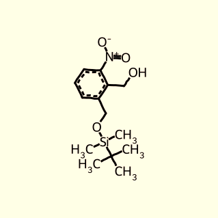 CC(C)(C)[Si](C)(C)OCc1cccc([N+](=O)[O-])c1CO